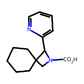 O=C(O)N1CC2(CCCCC2)C1c1ccccn1